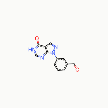 O=Cc1cccc(-n2ncc3c(=O)[nH]cnc32)c1